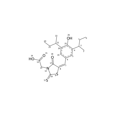 CCC(C)c1cc(C=C2SC(=S)N(CC(=O)O)C2=O)cc(C(C)CC)c1O